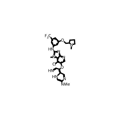 CNC1=CN/C(=C(\C=N)Oc2cnc3nc(Nc4cc(OCC5CCCN5C)cc(C(F)(F)F)c4)n(C)c3c2Cl)C=N1